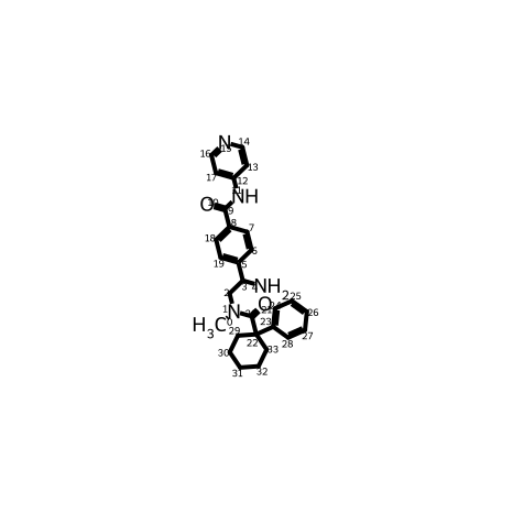 CN(CC(N)c1ccc(C(=O)Nc2ccncc2)cc1)C(=O)C1(c2ccccc2)CCCCC1